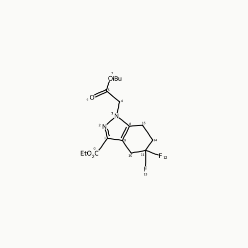 CCOC(=O)c1nn(CC(=O)OCC(C)C)c2c1CC(F)(F)CC2